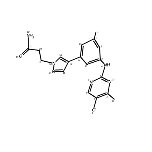 Cc1cc(Nc2ncc(Cl)c(C)n2)cc(-c2cnn(CCC(N)=O)c2)c1